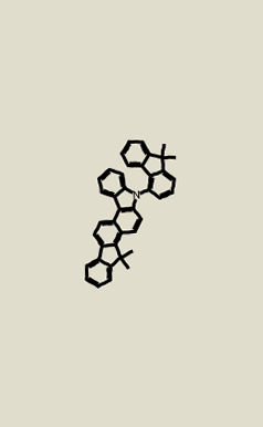 CC1(C)c2ccccc2-c2c(-n3c4ccccc4c4c5ccc6c(c5ccc43)C(C)(C)c3ccccc3-6)cccc21